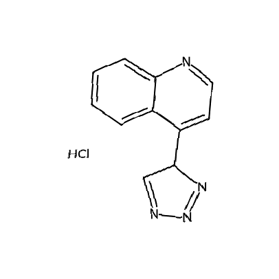 C1=NN=NC1c1ccnc2ccccc12.Cl